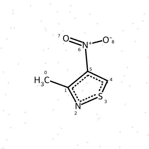 Cc1ns[c]c1[N+](=O)[O-]